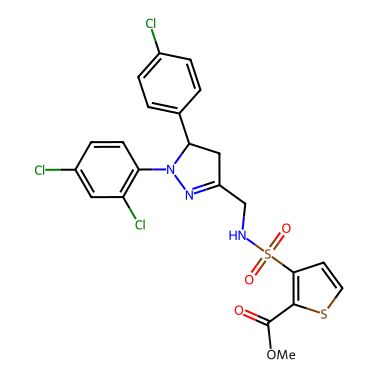 COC(=O)c1sccc1S(=O)(=O)NCC1=NN(c2ccc(Cl)cc2Cl)C(c2ccc(Cl)cc2)C1